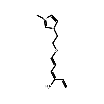 C=C/C(N)=C\C=C\OCCn1cc[n+](C)c1